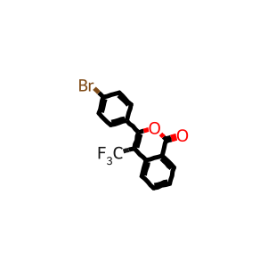 O=c1oc(-c2ccc(Br)cc2)c(C(F)(F)F)c2ccccc12